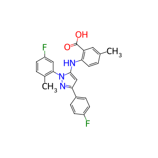 Cc1ccc(Nc2cc(-c3ccc(F)cc3)nn2-c2cc(F)ccc2C)c(C(=O)O)c1